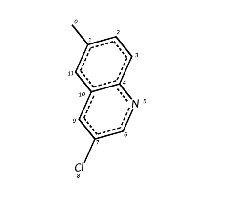 Cc1ccc2ncc(Cl)cc2c1